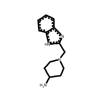 NC1CCN(Cc2nc3ccccc3[nH]2)CC1